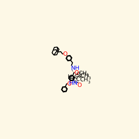 CC(C)(C)[Si](C)(C)O[C@@H](CNCCc1ccc(OCCC23CC4CC(CC(C4)C2)C3)cc1)c1ccc(OCc2ccccc2)c(NC=O)c1